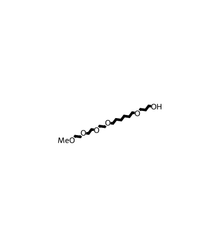 COCCOCCOCCOCCCCCCOCCCO